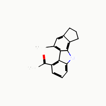 COC(=O)c1cccc2[nH]c3c4c(cc(OC)c3c12)CCC4